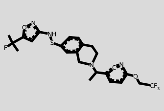 CC(c1ccc(OCC(F)(F)F)nc1)N1CCc2ccc(SNc3cc(C(C)(C)F)on3)cc2C1